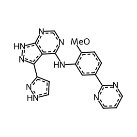 COc1ccc(-c2ncccn2)cc1Nc1ncnc2[nH]nc(-c3cc[nH]n3)c12